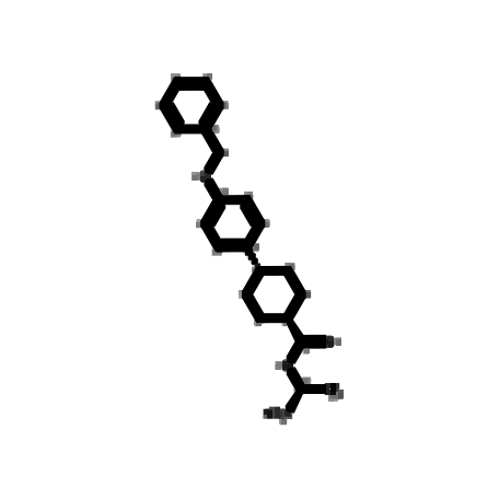 CCCCCC[C@@H](OC(=O)[C@H]1CC[C@H](c2ccc(OCc3ccccc3)cc2)CC1)C(F)(F)F